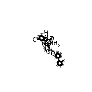 Cc1ccccc1-c1cccc(OC[C@@H]2CN(S(=O)(=O)c3c(C(N)=O)[nH]c4ccc(Cl)cc34)CCO2)c1